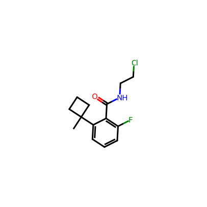 CC1(c2cccc(F)c2C(=O)NCCCl)CCC1